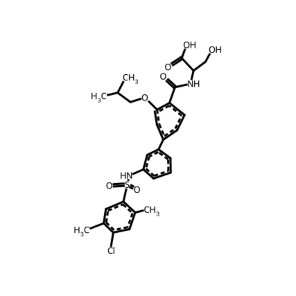 Cc1cc(S(=O)(=O)Nc2cccc(-c3ccc(C(=O)NC(CO)C(=O)O)c(OCC(C)C)c3)c2)c(C)cc1Cl